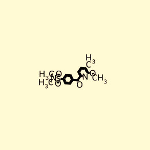 COc1nc(C(=O)c2ccc(S(=O)(=O)N(C)C)cc2)ccc1C